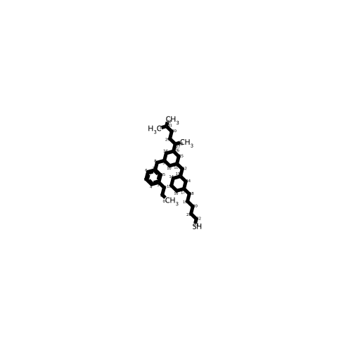 CCCc1cccc(CC2CC(CC3CCCC(CCCCCS)C3)CC(C(C)CCC(C)C)C2)c1